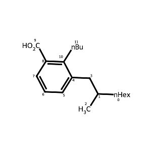 CCCCCCC(C)Cc1cccc(C(=O)O)c1CCCC